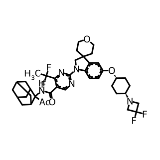 CC(=O)C1(NC(=O)c2cnc(N3CC4(CCOCC4)c4cc(O[C@H]5CC[C@H](N6CC(F)(F)C6)CC5)ccc43)nc2C(C)(F)F)C2CC3CC(C2)CC1C3